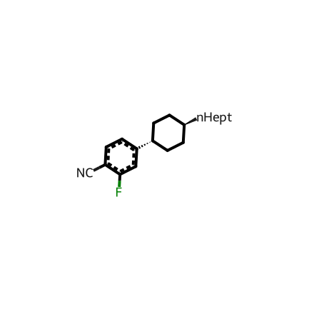 CCCCCCC[C@H]1CC[C@H](c2ccc(C#N)c(F)c2)CC1